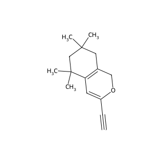 [C]#CC1=CC2=C(CO1)CC(C)(C)CC2(C)C